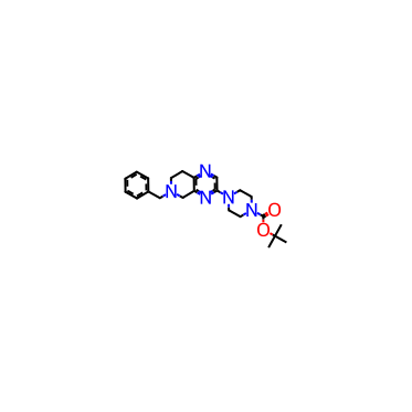 CC(C)(C)OC(=O)N1CCN(c2cnc3c(n2)CN(Cc2ccccc2)CC3)CC1